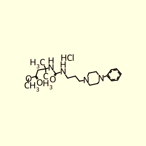 COC(=O)CC(C)(C)NC(=O)NCCCN1CCN(c2ccccc2)CC1.Cl